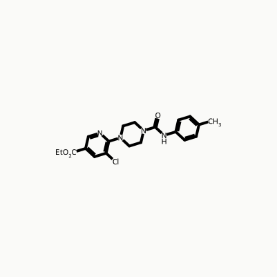 CCOC(=O)c1cnc(N2CCN(C(=O)Nc3ccc(C)cc3)CC2)c(Cl)c1